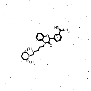 C[C@@H]1CCC[C@H](C)N1CCCCCN1C(=O)C(c2cccc(C(=N)N)c2)Oc2ccccc21